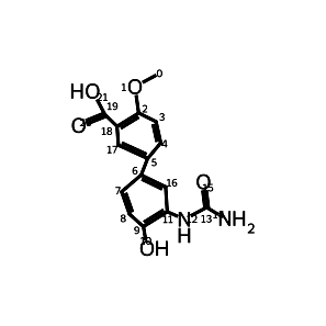 COc1ccc(-c2ccc(O)c(NC(N)=O)c2)cc1C(=O)O